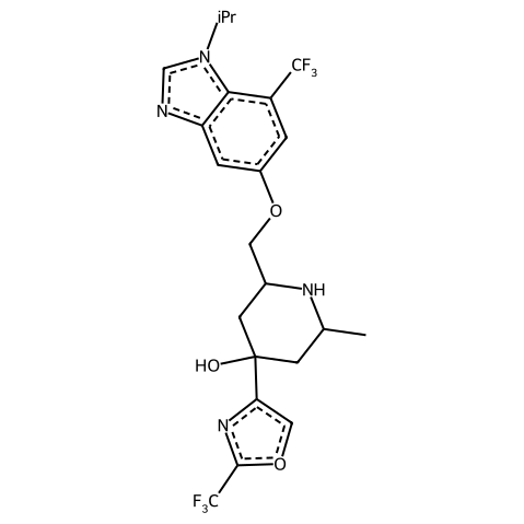 CC1CC(O)(c2coc(C(F)(F)F)n2)CC(COc2cc(C(F)(F)F)c3c(c2)ncn3C(C)C)N1